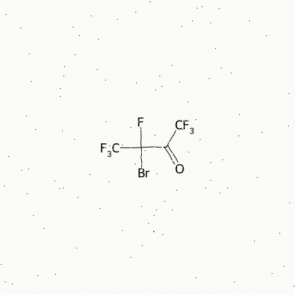 O=C(C(F)(F)F)C(F)(Br)C(F)(F)F